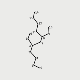 CCCCC(CC)CC(CC)CCCC